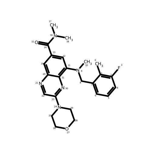 Cc1c(F)cccc1CN(C)c1cc(C(=O)N(C)C)cc2ncc(N3CCOCC3)nc12